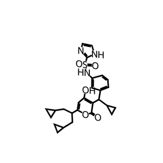 O=c1oc(C(CC2CC2)CC2CC2)cc(O)c1C(c1cccc(NS(=O)(=O)c2ncc[nH]2)c1)C1CC1